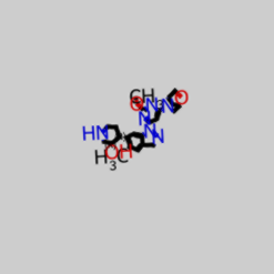 COc1nc(N2CC3CC2CO3)cc(-n2ncc3cc(C)c([C@H]4CCNC[C@@H]4O)cc32)n1